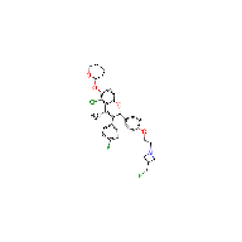 CC1=C(c2ccc(F)cc2)C(c2ccc(OCCN3CC(CF)C3)cc2)Oc2ccc(OC3CCCCO3)c(Cl)c21